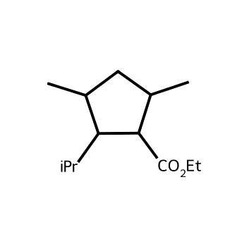 CCOC(=O)C1C(C)CC(C)C1C(C)C